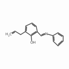 C=CCc1cccc(/C=N/c2ccccc2)c1O